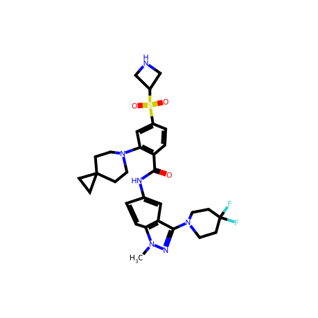 Cn1nc(N2CCC(F)(F)CC2)c2cc(NC(=O)c3ccc(S(=O)(=O)C4CNC4)cc3N3CCC4(CC3)CC4)ccc21